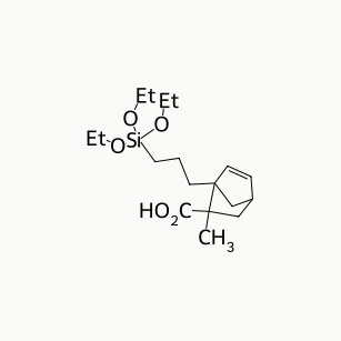 CCO[Si](CCCC12C=CC(C1)CC2(C)C(=O)O)(OCC)OCC